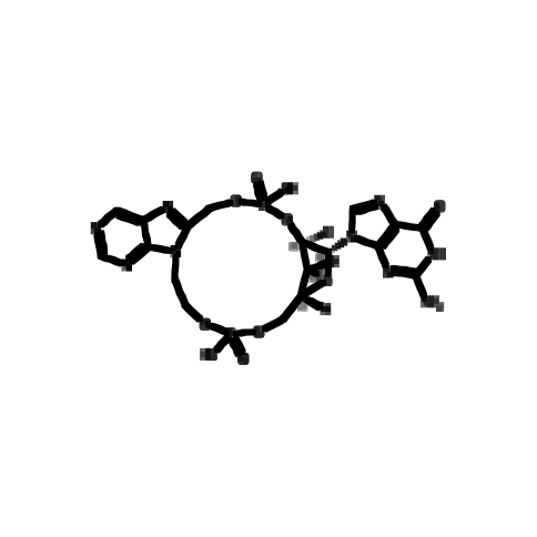 Nc1nc2c(ncn2[C@@H]2S[C@@H]3COP(=O)(S)OCCn4c(nc5cncnc54)COP(=O)(S)O[C@@H]2[C@@H]3F)c(=O)[nH]1